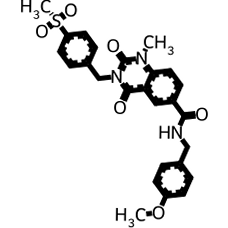 COc1ccc(CNC(=O)c2ccc3c(c2)c(=O)n(Cc2ccc(S(C)(=O)=O)cc2)c(=O)n3C)cc1